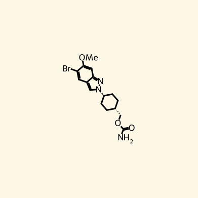 COc1cc2nn([C@H]3CC[C@@H](COC(N)=O)CC3)cc2cc1Br